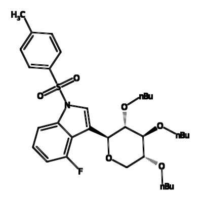 CCCCO[C@@H]1[C@@H](OCCCC)[C@H](c2cn(S(=O)(=O)c3ccc(C)cc3)c3cccc(F)c23)OC[C@H]1OCCCC